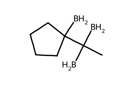 BC(B)(C)C1(B)CCCC1